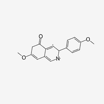 COC1=CC2=C[N]C(c3ccc(OC)cc3)[C]=C2C(=O)C1